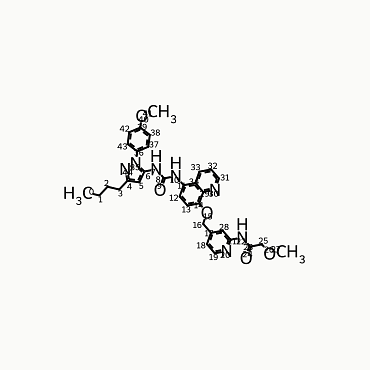 CCCCc1cc(NC(=O)Nc2ccc(OCc3ccnc(NC(=O)COC)c3)c3ncccc23)n(-c2ccc(OC)cc2)n1